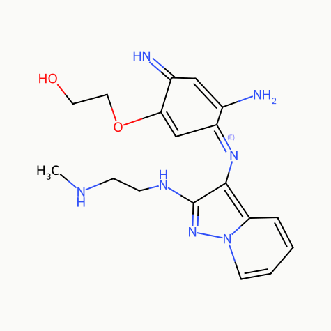 CNCCNc1nn2ccccc2c1/N=C1\C=C(OCCO)C(=N)C=C1N